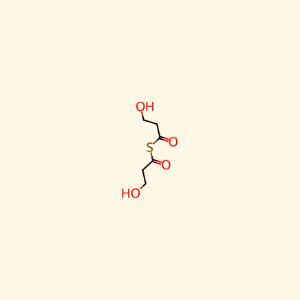 O=C(CCO)SC(=O)CCO